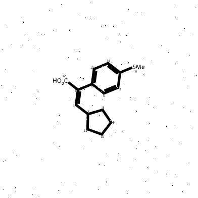 CSc1ccc(/C(=C\C2CCCC2)C(=O)O)cc1